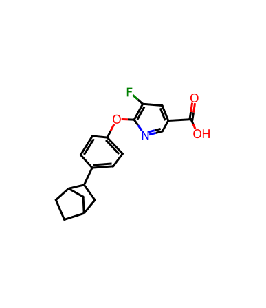 O=C(O)c1cnc(Oc2ccc(C3CC4CCC3C4)cc2)c(F)c1